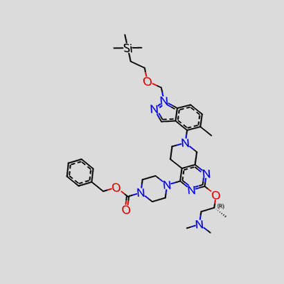 Cc1ccc2c(cnn2COCC[Si](C)(C)C)c1N1CCc2c(nc(O[C@H](C)CN(C)C)nc2N2CCN(C(=O)OCc3ccccc3)CC2)C1